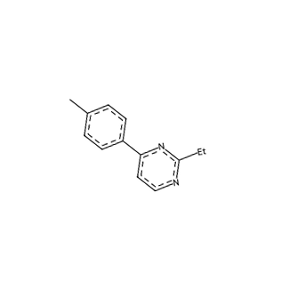 CCc1nccc(-c2ccc(C)cc2)n1